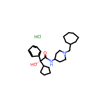 Cl.O=C(NC1CCN(CC2CCCCCC2)CC1)[C@](O)(c1ccccc1)C1CCCC1